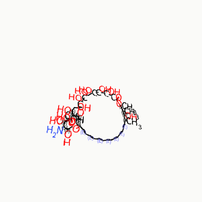 C[C@@H]1[C@H](O)[C@@H](C)/C=C/C=C/C=C/C=C/C=C/C=C/C=C/C(OC2O[C@H](C)[C@@H](O)[C@H](N)[C@@H]2O)C[C@@H]2OC(O)(CC(O)CC(O)C(O)CCC(O)CC(O)CC(=O)O[C@H]1C)C[C@H](O)[C@H]2C(=O)O